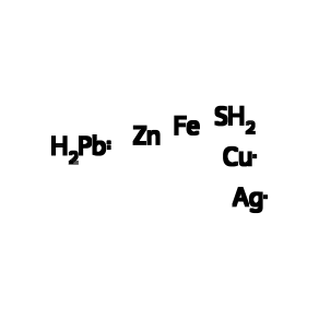 S.[Ag].[Cu].[Fe].[PbH2].[Zn]